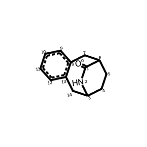 O=C1NC2CCC1Cc1ccccc1C2